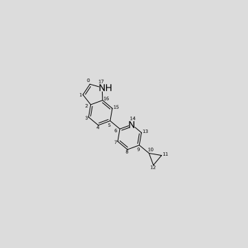 c1cc2ccc(-c3ccc(C4CC4)cn3)cc2[nH]1